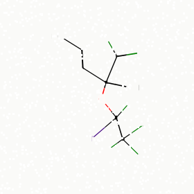 CCCC(C)(OC(F)(I)C(F)(F)F)C(F)F